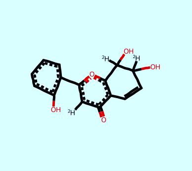 [2H]c1c(-c2ccccc2O)oc2c(c1=O)C=CC([2H])(O)C2([2H])O